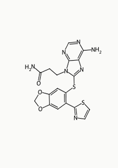 NC(=O)CCn1c(Sc2cc3c(cc2-c2nccs2)OCO3)nc2c(N)ncnc21